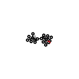 c1ccc(-c2cc(C(c3ccccc3)(c3ccccc3)c3ccccc3)nc(-n3c4ccccc4c4cc(-c5ccc6c(c5)c5ccccc5n6-c5nc([Si](c6ccccc6)(c6ccccc6)c6ccccc6)cc([Si](c6ccccc6)(c6ccccc6)c6ccccc6)n5)ccc43)n2)cc1